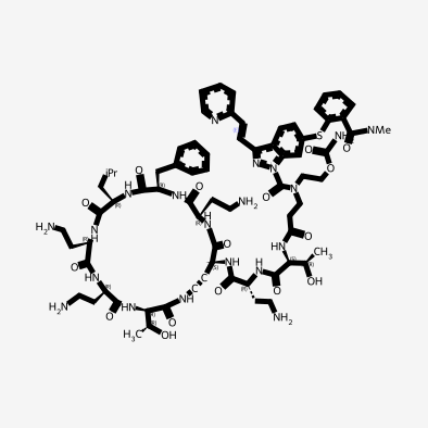 CNC(=O)c1ccccc1Sc1ccc2c(/C=C/c3ccccn3)nn(C(=O)N(CCOC(N)=O)CCC(=O)N[C@H](C(=O)N[C@H](CCN)C(=O)N[C@H]3CCNC(=O)[C@@H]([C@@H](C)O)NC(=O)[C@@H](CCN)NC(=O)[C@@H](CCN)NC(=O)[C@@H](CC(C)C)NC(=O)[C@@H](Cc4ccccc4)NC(=O)[C@@H](CCN)NC3=O)[C@@H](C)O)c2c1